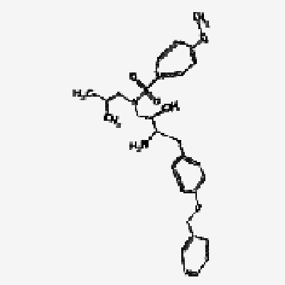 COc1ccc(S(=O)(=O)N(CC(C)C)C[C@@H](O)C(N)Cc2ccc(OCc3ccccc3)cc2)cc1